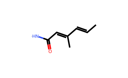 C/C=C/C(C)=C/C([NH])=O